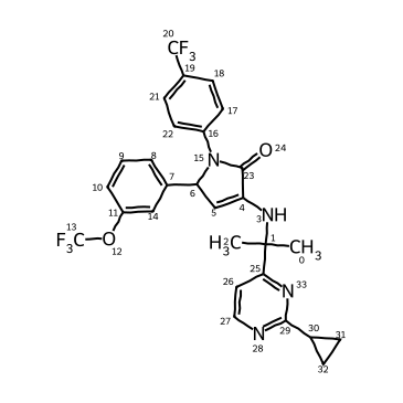 CC(C)(NC1=CC(c2cccc(OC(F)(F)F)c2)N(c2ccc(C(F)(F)F)cc2)C1=O)c1ccnc(C2CC2)n1